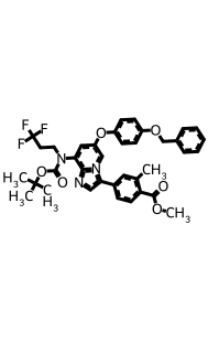 COC(=O)c1ccc(-c2cnc3c(N(CCC(F)(F)F)C(=O)OC(C)(C)C)cc(Oc4ccc(OCc5ccccc5)cc4)cn23)cc1C